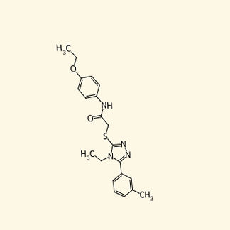 CCOc1ccc(NC(=O)CSc2nnc(-c3cccc(C)c3)n2CC)cc1